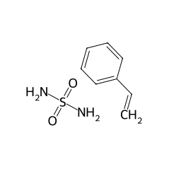 C=Cc1ccccc1.NS(N)(=O)=O